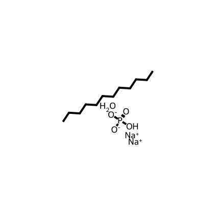 CCCCCCCCCCCC.O.O=P([O-])([O-])O.[Na+].[Na+]